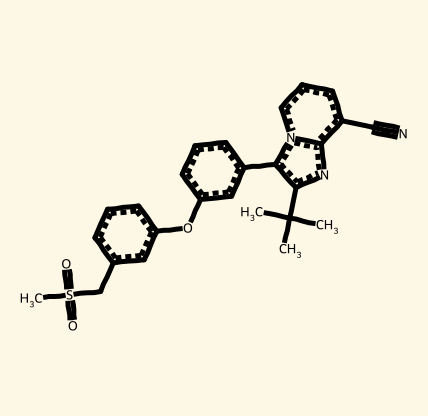 CC(C)(C)c1nc2c(C#N)cccn2c1-c1cccc(Oc2cccc(CS(C)(=O)=O)c2)c1